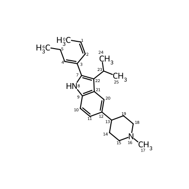 C/C=C\C(=C/CC)c1[nH]c2ccc(C3CCN(C)CC3)cc2c1C(C)C